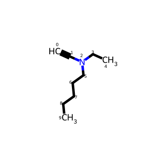 C#CN(CC)CCCCC